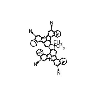 CC1(C)c2cc3c4c5c(c(C#N)cc4n4c6cc(C#N)c7c(c6c(c2-c2cc6c8c9c(c(C#N)cc8n8c%10cc(C#N)c%11c(c%10c(c21)c68)C1CCC%11CC1)C1CCC9CC1)c34)C1CCC7CC1)C1CCC5CC1